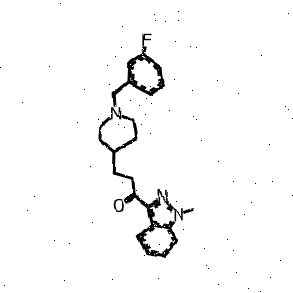 Cn1nc(C(=O)CCC2CCN(Cc3cccc(F)c3)CC2)c2ccccc21